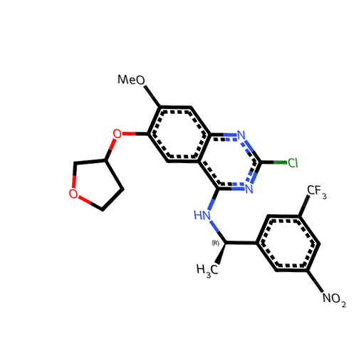 COc1cc2nc(Cl)nc(N[C@H](C)c3cc([N+](=O)[O-])cc(C(F)(F)F)c3)c2cc1OC1CCOC1